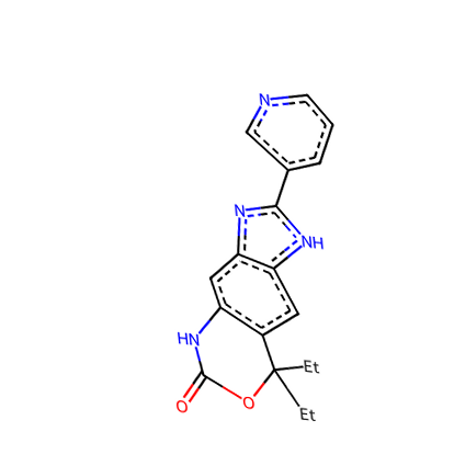 CCC1(CC)OC(=O)Nc2cc3nc(-c4cccnc4)[nH]c3cc21